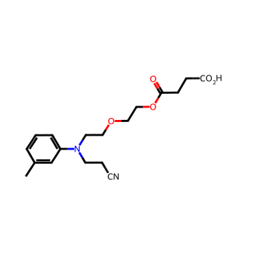 Cc1cccc(N(CCC#N)CCOCCOC(=O)CCC(=O)O)c1